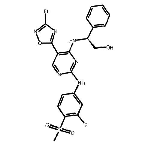 CCc1noc(-c2cnc(Nc3ccc(S(C)(=O)=O)c(F)c3)nc2N[C@H](CO)c2ccccc2)n1